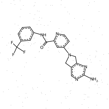 Nc1ncc2c(n1)CN(c1ccnc(C(=O)Nc3cccc(C(F)(F)F)c3)c1)C2